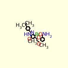 COCCC(Oc1ccccc1C(N)=O)c1cc(OC)c2[nH]c(-c3ccc(C(C)C)cc3)nc2c1Br